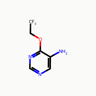 Nc1cncnc1OCC(F)(F)F